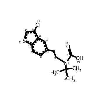 CC(C)(C)N(CCc1ccc2scc(Cl)c2c1)C(=O)O